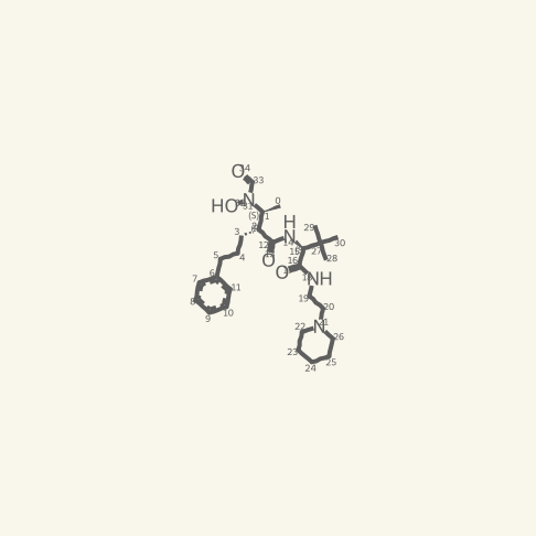 C[C@@H]([C@@H](CCCc1ccccc1)C(=O)N[C@H](C(=O)NCCN1CCCCC1)C(C)(C)C)N(O)C=O